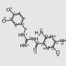 N=C(NCc1ccc(Cl)c(Cl)c1)NC(=O)c1nc(Cl)c(N)nc1N